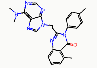 Cc1ccc(-n2c(Cn3cnc4c(N(C)C)ncnc43)nc3cccc(C)c3c2=O)cc1